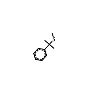 CSC(C)(C)c1ccccc1